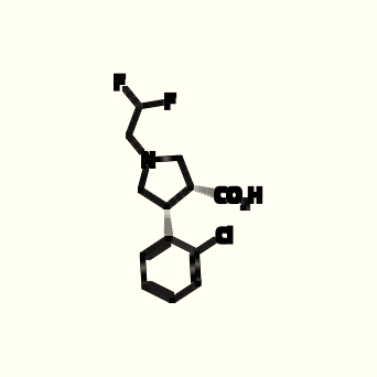 O=C(O)[C@H]1CN(CC(F)F)C[C@H]1c1ccccc1Cl